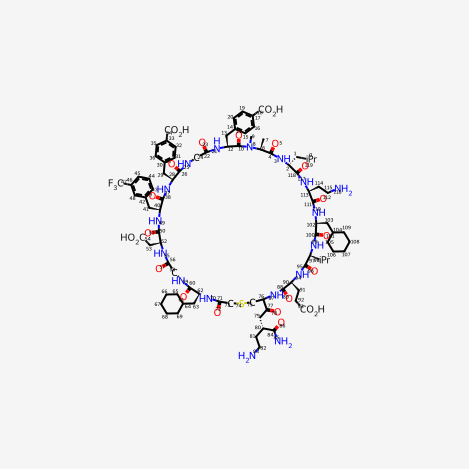 CC(C)C[C@H]1NC(=O)[C@H](C)N(C)C(=O)[C@H](Cc2ccc(C(=O)O)cc2)NC(=O)CNC(=O)[C@H](Cc2ccc(C(=O)O)cc2)NC(=O)[C@H](Cc2cccc(C(F)(F)F)c2)NC(=O)[C@H](CC(=O)O)NC(=O)CNC(=O)[C@H](CC2CCCCC2)NC(=O)CSCC(C(=O)C[C@@H](CCN)C(N)=O)NC(=O)[C@H](CCC(=O)O)NC(=O)[C@H](C(C)C)NC(=O)[C@H](CC2CCCCC2)NC(=O)[C@H](CCN)NC1=O